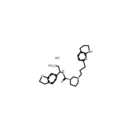 Cl.O=C(O)CC(NC(=O)[C@@H]1CCCN(CCCc2ccc3c(n2)NCCC3)C1)c1ccc2c(c1)OCC2